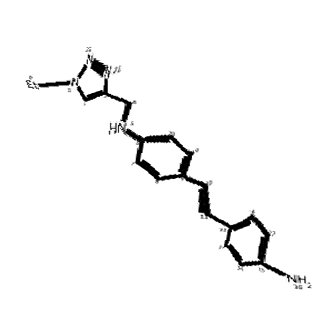 CCn1cc(CNc2ccc(/C=C/c3ccc(N)cc3)cc2)nn1